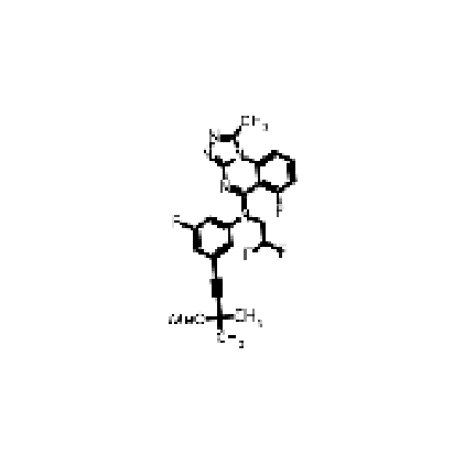 COC(C)(C)C#Cc1cc(F)cc(N(CC(F)F)c2nc3nnc(C)n3c3cccc(F)c23)c1